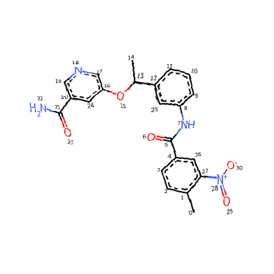 Cc1ccc(C(=O)Nc2cccc(C(C)Oc3cncc(C(N)=O)c3)c2)cc1[N+](=O)[O-]